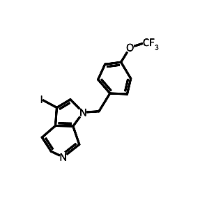 FC(F)(F)Oc1ccc(Cn2cc(I)c3ccncc32)cc1